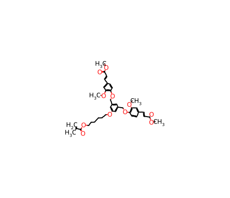 C=C(C)C(=O)OCCCCCCOc1cc(COc2ccc(C=CC(=O)OC)cc2OC)cc(COc2ccc(C=CC(=O)OC)cc2OC)c1